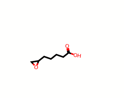 O=C(O)CCCCC1CO1